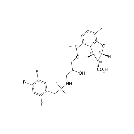 Cc1ccc([C@@H](C)OCC(O)CNC(C)(C)Cc2cc(F)c(F)cc2F)c2c1O[C@@H]1[C@@H](C(=O)O)[C@H]21